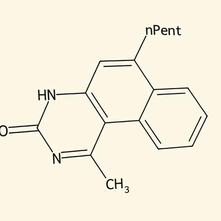 CCCCCc1cc2[nH]c(=O)nc(C)c2c2ccccc12